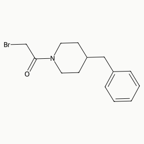 O=C(CBr)N1CCC(Cc2ccccc2)CC1